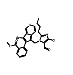 CCCCc1nc(Cl)c(C=O)n1Cc1c2ccocc-2c(Br)c1-c1ccccc1C(=O)OC